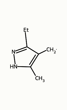 [CH2]c1c(CC)n[nH]c1C